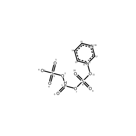 O=[PH](OS(=O)(=O)[O-])OS(=O)(=O)O[n+]1cccnc1